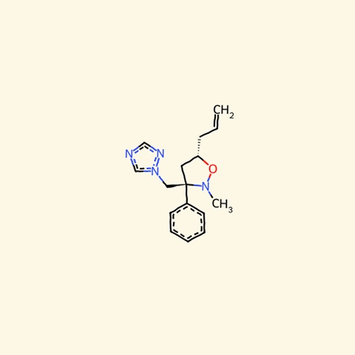 C=CC[C@H]1C[C@@](Cn2cncn2)(c2ccccc2)N(C)O1